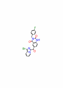 O=C(c1ccc2[nH]c(=O)n(Cc3ccc(F)cc3)c(=O)c2c1)c1nc(Br)c2ccccn12